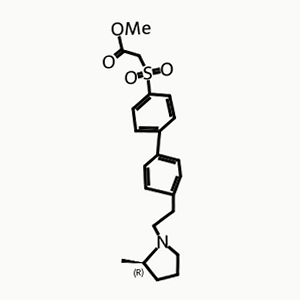 COC(=O)CS(=O)(=O)c1ccc(-c2ccc(CCN3CCC[C@H]3C)cc2)cc1